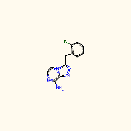 Nc1nccn2c(Cc3ccccc3F)nnc12